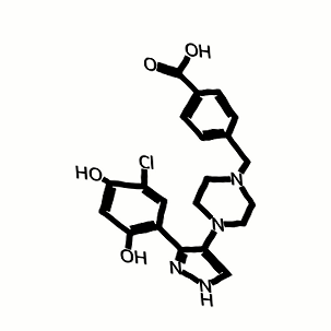 O=C(O)c1ccc(CN2CCN(c3c[nH]nc3-c3cc(Cl)c(O)cc3O)CC2)cc1